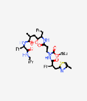 CCC(Cc1nc(C)cs1)C(=O)NN(CCC(=O)NC(CC(C)C)C(O)CC(C)C(=O)NC(C(=O)NCC(C)C)C(C)C)C(=O)OC(C)(C)C